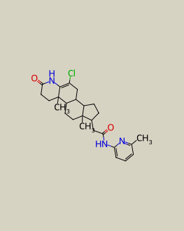 Cc1cccc(NC(=O)CC2CCC3C4CC(Cl)=C5NC(=O)CCC5(C)C4CCC23C)n1